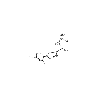 C[C@H](N[S@@+]([O-])C(C)(C)C)c1cn(-c2ccc(F)cc2F)cn1